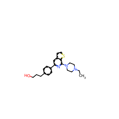 CCN1CCN(c2nc(-c3ccc(CCCO)cc3)cc3ccsc23)CC1